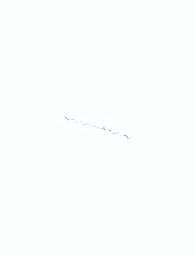 CC=CCCCCCCCCC(=O)OCCCC/C=C/C